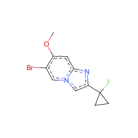 COc1cc2nc(C3(F)CC3)cn2cc1Br